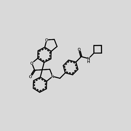 O=C(NC1CCC1)c1ccc(CN2CC3(C(=O)Oc4cc5c(cc43)CCO5)c3ccccc32)cc1